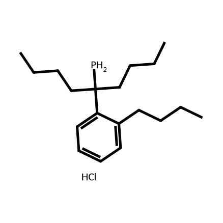 CCCCc1ccccc1C(P)(CCCC)CCCC.Cl